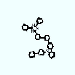 c1ccc(-c2ccc(-n3c4ccccc4c4ccc(-c5cccc(-c6cccc(-c7nc(-c8ccccc8)nc(-c8ccccc8)n7)c6)c5)cc43)cc2)cc1